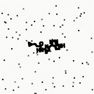 O=C(CCC1CC1)Nc1nc(-c2ncnc3[nH]ccc23)cs1